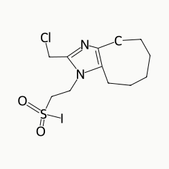 O=S(=O)(I)CCn1c(CCl)nc2c1CCCCCC2